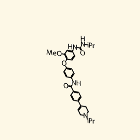 COc1cc(NC(=O)NC(C)C)ccc1Oc1ccc(NC(=O)c2ccc(C3=CCN(C(C)C)CC3)cc2)cc1